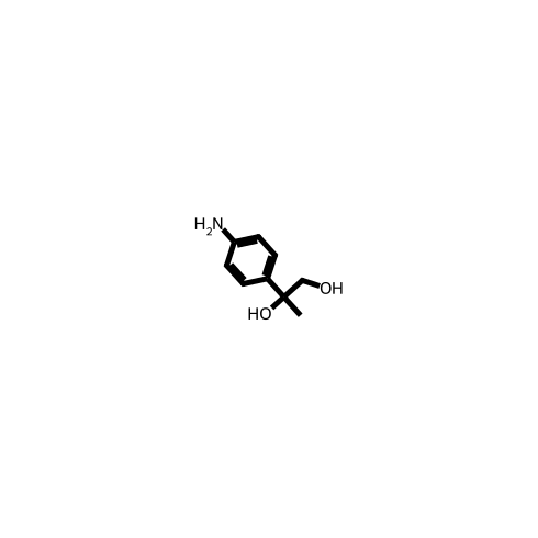 CC(O)(CO)c1ccc(N)cc1